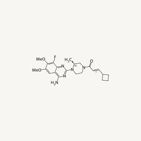 COc1cc2c(N)nc(N3CCN(C(=O)/C=C/C4CCC4)C[C@@H]3C)nc2c(F)c1OC